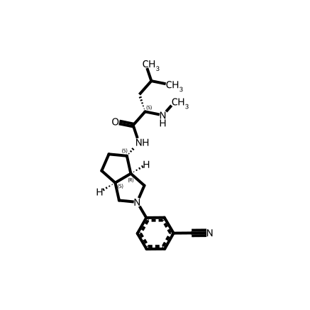 CN[C@@H](CC(C)C)C(=O)N[C@H]1CC[C@@H]2CN(c3cccc(C#N)c3)C[C@@H]21